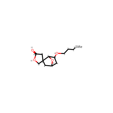 CSCCCOC1CC2CC3(COC(=O)C3)C1O2